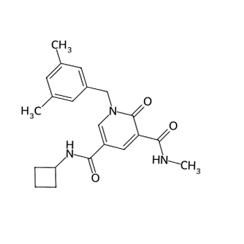 CNC(=O)c1cc(C(=O)NC2CCC2)cn(Cc2cc(C)cc(C)c2)c1=O